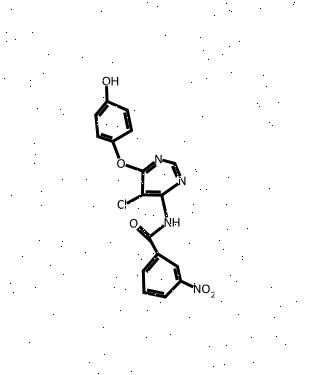 O=C(Nc1ncnc(Oc2ccc(O)cc2)c1Cl)c1cccc([N+](=O)[O-])c1